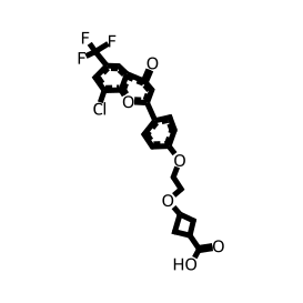 O=C(O)C1CC(OCCOc2ccc(-c3cc(=O)c4cc(C(F)(F)F)cc(Cl)c4o3)cc2)C1